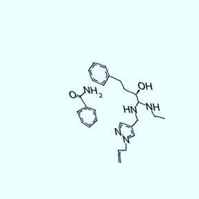 C=CCn1cc(CNC(NCC)[C@H](O)CCc2ccccc2)cn1.NC(=O)c1ccccc1